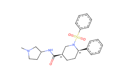 CN1CCC(NC(=O)[C@@H]2CC[C@H](c3ccccc3)N(S(=O)(=O)c3ccccc3)C2)C1